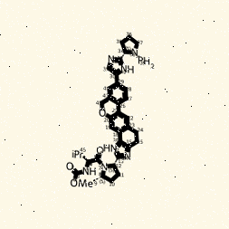 COC(=O)N[C@H](C(=O)N1[C@@H](C)CC[C@H]1c1nc2c([nH]1)-c1cc3c(cc1CC2)-c1ccc(-c2cnc([C@@H]4CCCN4P)[nH]2)cc1CO3)C(C)C